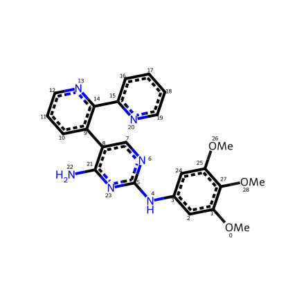 COc1cc(Nc2ncc(-c3cccnc3-c3ccccn3)c(N)n2)cc(OC)c1OC